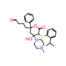 CC(C)c1ccccc1SC1C(=O)OC(CCCC=O)(c2ccccc2)CC1(O)N1CCN(C)CC1